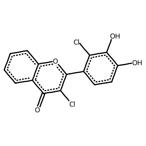 O=c1c(Cl)c(-c2ccc(O)c(O)c2Cl)oc2ccccc12